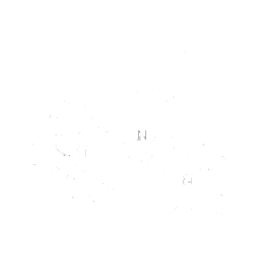 c1ccc([Si](c2ccccc2)(c2ccccc2)c2ccc(N(c3ccc(C4CCCCC4)cc3)c3ccc([Si](c4ccccc4)(c4ccccc4)c4ccccc4)cc3)cc2)cc1